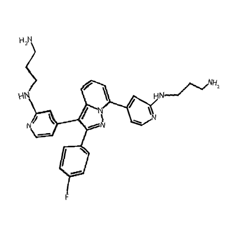 NCCCNc1cc(-c2c(-c3ccc(F)cc3)nn3c(-c4ccnc(NCCCN)c4)cccc23)ccn1